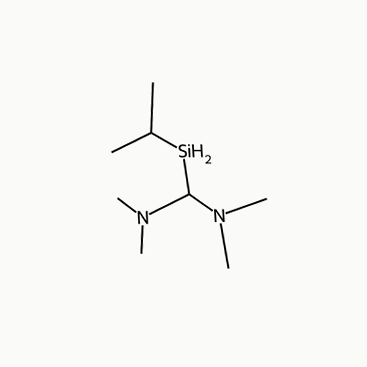 CC(C)[SiH2]C(N(C)C)N(C)C